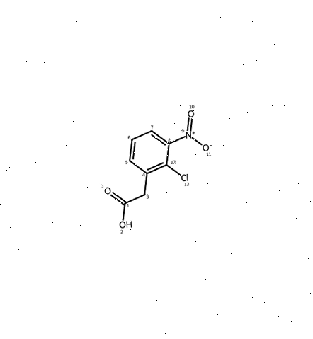 O=C(O)[CH]c1cccc([N+](=O)[O-])c1Cl